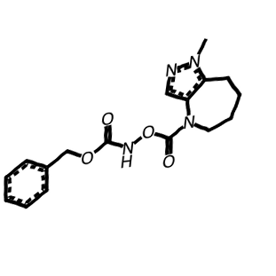 Cn1ncc2c1CCCCN2C(=O)ONC(=O)OCc1ccccc1